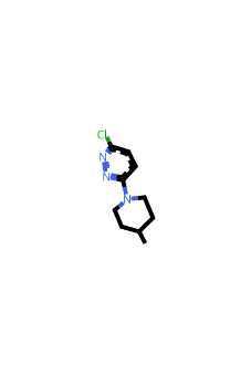 CC1CCN(c2ccc(Cl)nn2)CC1